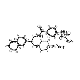 CCCCCN1CCN(CC(CNC(=O)c2ccc(NS(=O)(=O)CCC)cc2)c2ccc3ccccc3c2)CC1